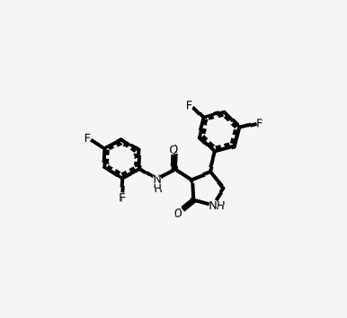 O=C1NCC(c2cc(F)cc(F)c2)C1C(=O)Nc1ccc(F)cc1F